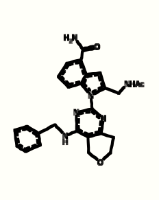 CC(=O)NCc1cc2c(C(N)=O)cccc2n1-c1nc2c(c(NCc3ccccc3)n1)COCC2